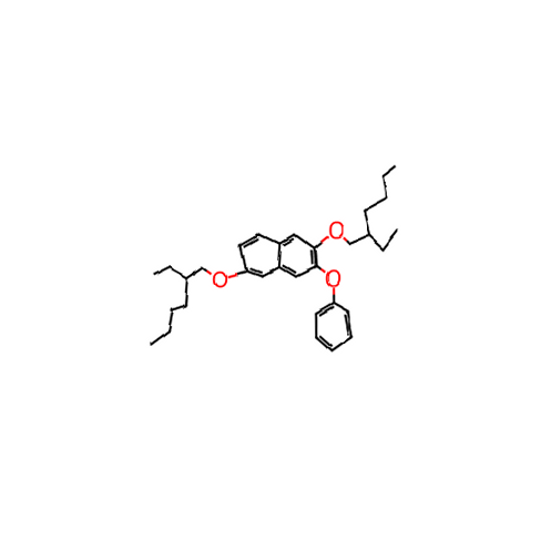 CCCCC(CC)COc1ccc2cc(OCC(CC)CCCC)c(Oc3ccccc3)cc2c1